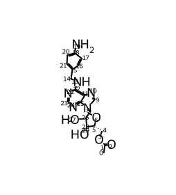 CC(=O)OC[C@H]1O[C@@H](n2cnc3c(NCc4ccc(N)cc4)ncnc32)[C@H](O)[C@@H]1O